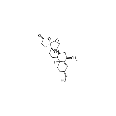 C=C1CC2C(CC[C@@]3(C)C2C2CC2[C@@]32CCC(=O)O2)[C@H]2CC/C(=N\O)C=C12